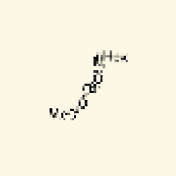 CCCCCC[n+]1ccc(OCCOCCOCCOC)cc1.[Br-]